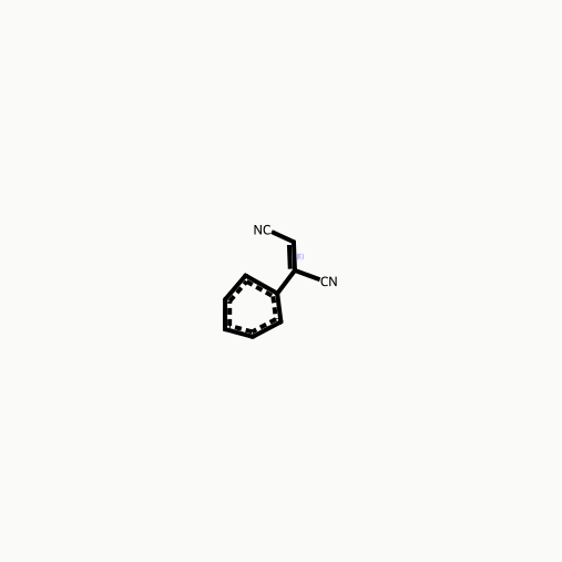 N#C/C=C(/C#N)c1ccccc1